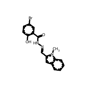 Cn1c(/C=N/NC(=O)c2cc(Br)ccc2O)cc2ccccc21